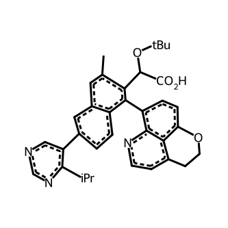 Cc1cc2cc(-c3cncnc3C(C)C)ccc2c(-c2ccc3c4c(ccnc24)CCO3)c1C(OC(C)(C)C)C(=O)O